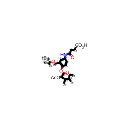 CC(=O)OC1C(Oc2ccc(NC(=O)CCC(=O)O)cc2CO[Si](C)(C)C(C)(C)C)OC(C)C(C)C1C